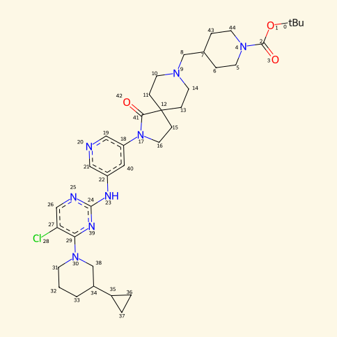 CC(C)(C)OC(=O)N1CCC(CN2CCC3(CC2)CCN(c2cncc(Nc4ncc(Cl)c(N5CCCC(C6CC6)C5)n4)c2)C3=O)CC1